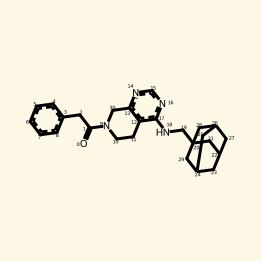 O=C(Cc1ccccc1)N1CCc2c(ncnc2NCC23CC4CC(CC(C4)C2)C3)C1